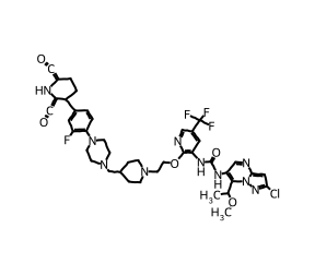 COC(C)c1c(NC(=O)Nc2cc(C(F)(F)F)cnc2OCCN2CCC(CN3CCN(c4ccc(C5CCC(=C=O)NC5=C=O)cc4F)CC3)CC2)cnc2cc(Cl)nn12